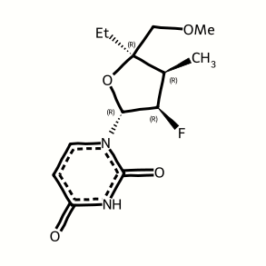 CC[C@@]1(COC)O[C@@H](n2ccc(=O)[nH]c2=O)[C@H](F)[C@@H]1C